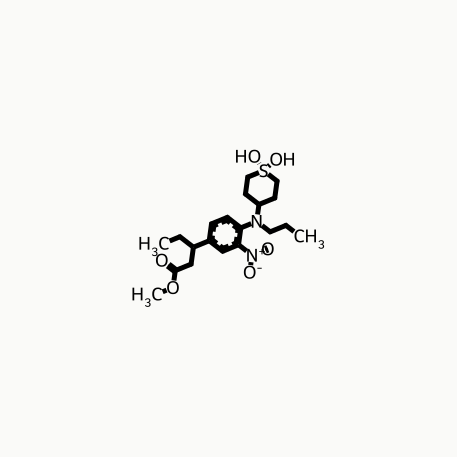 CCCN(c1ccc(C(CC)CC(=O)OC)cc1[N+](=O)[O-])C1CCS(O)(O)CC1